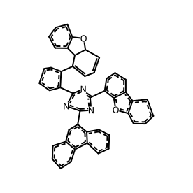 C1=CC2Oc3ccccc3C2C(c2ccccc2-c2nc(-c3cc4ccccc4c4ccccc34)nc(-c3cccc4c3oc3ccccc34)n2)=C1